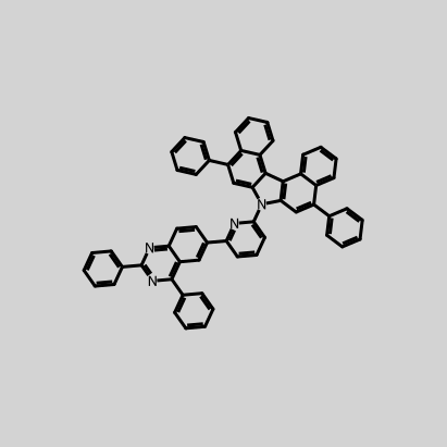 c1ccc(-c2nc(-c3ccccc3)c3cc(-c4cccc(-n5c6cc(-c7ccccc7)c7ccccc7c6c6c7ccccc7c(-c7ccccc7)cc65)n4)ccc3n2)cc1